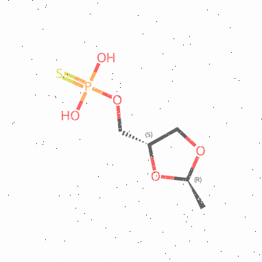 C[C@@H]1OC[C@@H](COP(O)(O)=S)O1